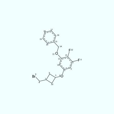 Fc1cc(OC2CC(CBr)C2)cc(OCc2ccccc2)c1F